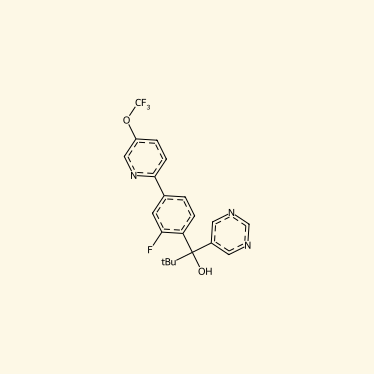 CC(C)(C)C(O)(c1cncnc1)c1ccc(-c2ccc(OC(F)(F)F)cn2)cc1F